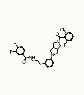 O=C(NCCCc1cccc(N2CC3CN(C(=O)c4c(F)cccc4Cl)CC3C2)c1)c1ccc(F)c(F)c1